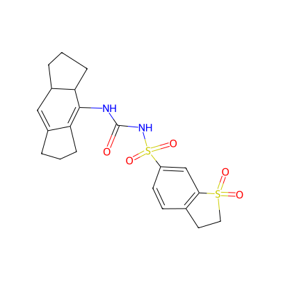 O=C(NC1=C2CCCC2=CC2CCCC12)NS(=O)(=O)c1ccc2c(c1)S(=O)(=O)CC2